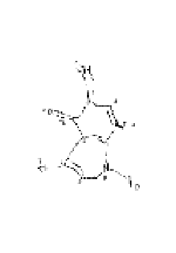 Cn1cnc2c(c(Cl)cn2I)c1=O